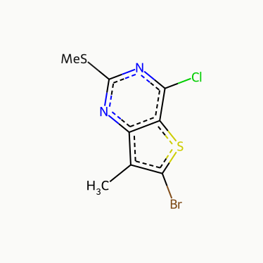 CSc1nc(Cl)c2sc(Br)c(C)c2n1